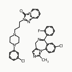 Cc1ncc2n1-c1ccc(Cl)cc1C(c1ccccc1F)=NC2.O=c1n(CCCN2CCN(c3cccc(Cl)c3)CC2)nc2ccccn12